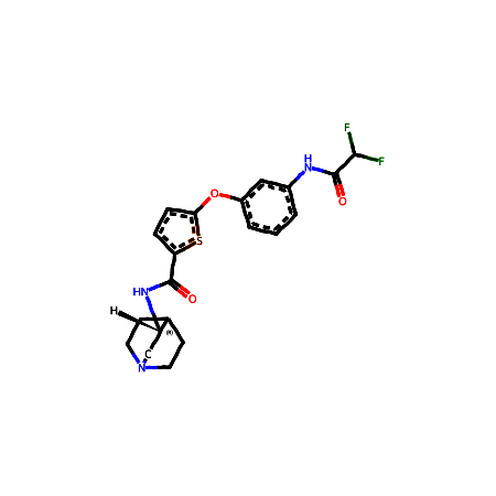 O=C(N[C@H]1CN2CCC1CC2)c1ccc(Oc2cccc(NC(=O)C(F)F)c2)s1